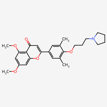 COc1cc(OC)c2c(=O)cc(-c3cc(C)c(OCCCN4CCCC4)c(C)c3)oc2c1